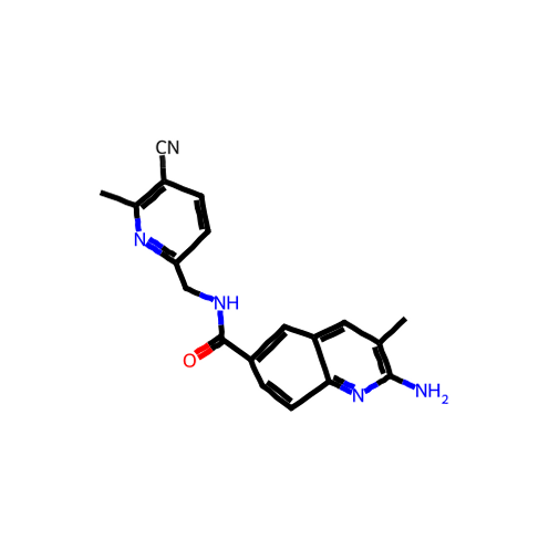 Cc1cc2cc(C(=O)NCc3ccc(C#N)c(C)n3)ccc2nc1N